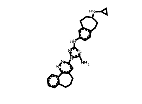 Nc1nc(Nc2ccc3c(c2)CCC(NC2CC2)CC3)nn1-c1cc2c(nn1)-c1ccccc1CCC2